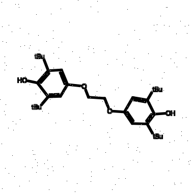 CC(C)(C)c1cc(OCCOc2cc(C(C)(C)C)c(O)c(C(C)(C)C)c2)cc(C(C)(C)C)c1O